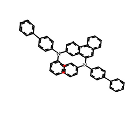 c1ccc(-c2ccc(N(c3ccccc3)c3ccc4c(c3)c(N(c3ccccc3)c3ccc(-c5ccccc5)cc3)cc3ccccc34)cc2)cc1